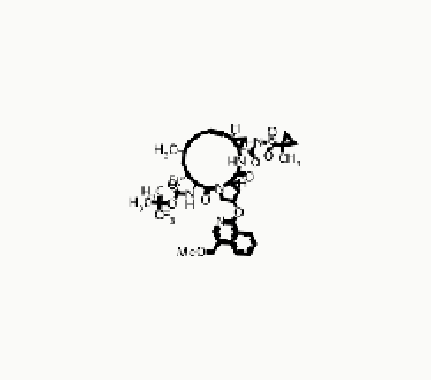 CC[C@@H]1C[C@H](C)CC/C=C\[C@@H]2C[C@@]2(C(=O)NS(=O)(=O)C2(C)CC2)NC(=O)[C@@H]2C[C@@H](Oc3ncc(COC)c4ccccc34)CN2C(=O)[C@H]1NC(=O)OC(C)(C)C(F)(F)F